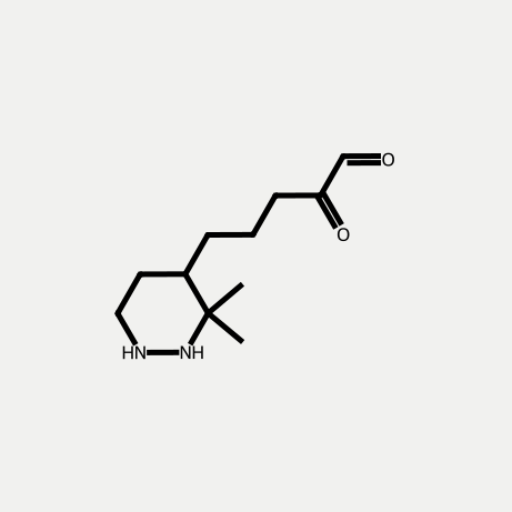 CC1(C)NNCCC1CCCC(=O)C=O